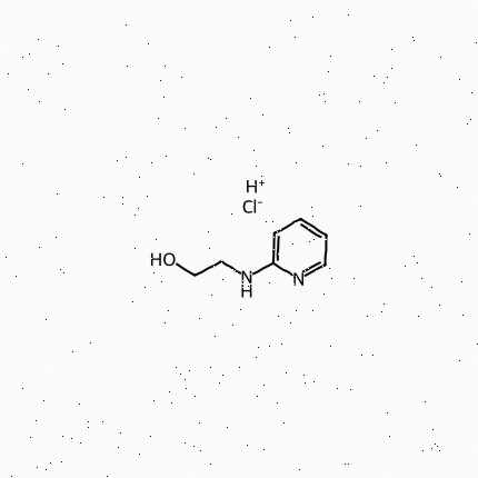 OCCNc1ccccn1.[Cl-].[H+]